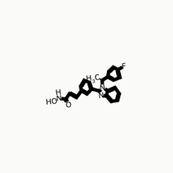 C[C@H](c1ccc(F)cc1)n1c(-c2cccc(/C=C/C(=O)NO)c2)nc2ccccc21